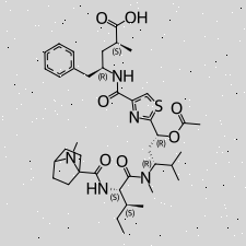 CC[C@H](C)[C@H](NC(=O)C12CCC(CC1)N2C)C(=O)N(C)[C@H](C[C@@H](OC(C)=O)c1nc(C(=O)N[C@@H](Cc2ccccc2)C[C@H](C)C(=O)O)cs1)C(C)C